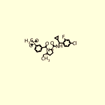 CC[C@@H]1CC[C@H](C(=O)NC(c2ccc(Cl)cc2F)C2CC2)N1C(=O)c1cccc(S(C)(=O)=O)c1